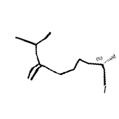 C=C(CC[C@H](C)I)C(C)C